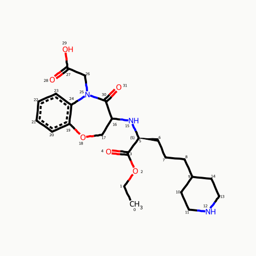 CCOC(=O)[C@H](CCCC1CCNCC1)NC1COc2ccccc2N(CC(=O)O)C1=O